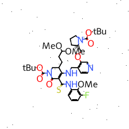 COc1c(F)cccc1NC(=S)C1=C(NCc2ccncc2OC[C@H]2CCCN2C(=O)OC(C)(C)C)C(CCC(OC)OC)CN(C(=O)OC(C)(C)C)C1=O